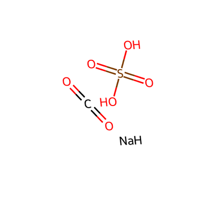 O=C=O.O=S(=O)(O)O.[NaH]